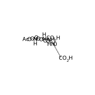 CC(=O)COCCOCCNC(=O)COCCOCCNC(=O)CC[C@H](NC(=O)[C@H]1CC[C@H](CNC(=O)CCCCCCCCCCCCCCC(=O)O)CC1)C(=O)O